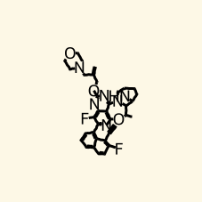 C#Cc1c(F)ccc2cccc(-c3nc4c5c(nc(OCC(=C)CN6CCOCC6)nc5c3F)N3CC5CCC(N5)C3C(C)O4)c12